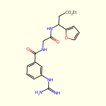 CCOC(=O)CC(NC(=O)CNC(=O)c1cccc(NC(=N)N)c1)c1ccco1